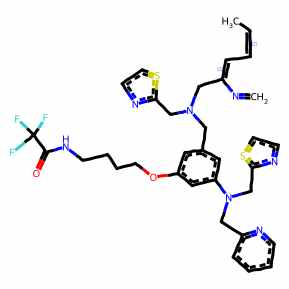 C=N/C(=C\C=C/C)CN(Cc1cc(OCCCCNC(=O)C(F)(F)F)cc(N(Cc2ccccn2)Cc2nccs2)c1)Cc1nccs1